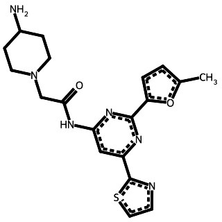 Cc1ccc(-c2nc(NC(=O)CN3CCC(N)CC3)cc(-c3nccs3)n2)o1